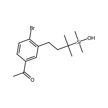 CC(=O)c1ccc(Br)c(CCC(C)(C)[Si](C)(C)O)c1